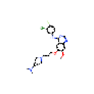 COc1cc2ncnc(Nc3ccc(F)c(Cl)c3)c2cc1OCCCN1CC2C(C1)C2N(C)C